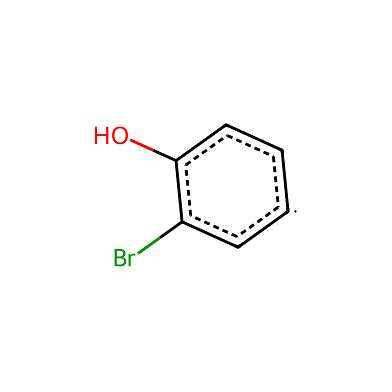 Oc1cc[c]cc1Br